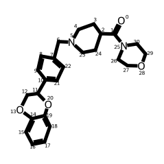 O=C(C1CCN(Cc2ccc(C3COc4ccccc4O3)cc2)CC1)N1CCOCC1